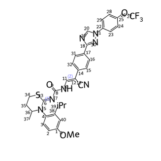 COc1ccc(N2/C(=N/C(=O)N/C=C(\C#N)c3ccc(-c4ncn(-c5ccc(OC(F)(F)F)cc5)n4)cc3)SCCC2C)c(C(C)C)c1